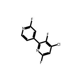 Fc1cc(-c2nc(F)cc(Cl)c2F)ccn1